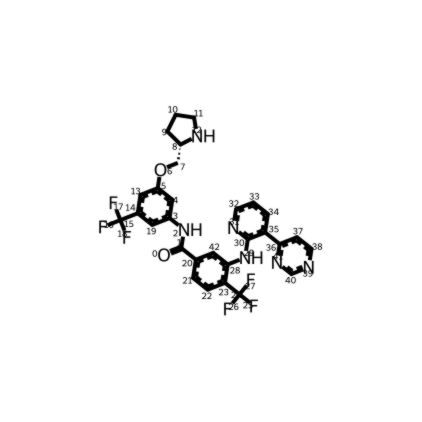 O=C(Nc1cc(OC[C@@H]2CCCN2)cc(C(F)(F)F)c1)c1ccc(C(F)(F)F)c(Nc2ncccc2-c2ccncn2)c1